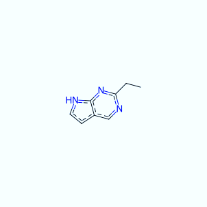 CCc1ncc2cc[nH]c2n1